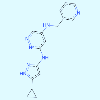 c1cncc(CNc2cnnc(Nc3cc(C4CC4)[nH]n3)c2)c1